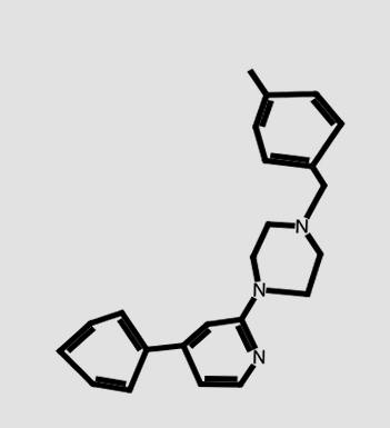 Cc1ccc(CN2CCN(c3cc(-c4ccccc4)ccn3)CC2)cc1